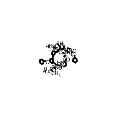 CCn1c(-c2cc(N3CCN(C(=O)OCc4ccccc4)CC3)cnc2C(C)C)c2c3cc(ccc31)-c1cc(cc(OCc3ccccc3)c1)C[C@H](NC(=O)OC(C)(C)C)C(=O)N1CCC[C@H](N1)C(=O)OCC(C)(C)C2